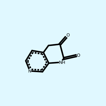 O=C1Cc2ccncc2NC1=O